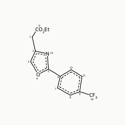 CCOC(=O)Cc1coc(-c2ccc(C(F)(F)F)cc2)n1